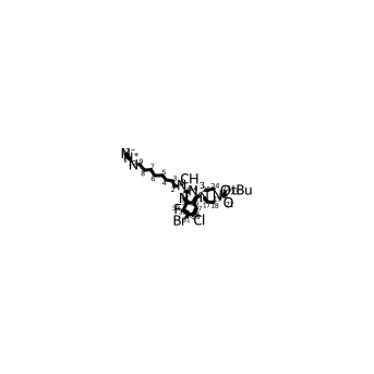 CN(CCCCCCCCN=[N+]=[N-])c1nc(N2CCN(C(=O)OC(C)(C)C)CC2)c2cc(Cl)c(Br)c(F)c2n1